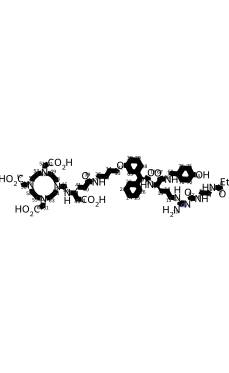 CCC(=O)NCCNC(=O)/N=C(/N)NCCC[C@@H](NC(=O)[C@@H](c1ccccc1)c1cccc(OCCCCNC(=O)CC[C@H](CC(=O)O)NCN2CCN(CC(=O)O)CCN(CC(=O)O)CCN(CC(=O)O)CC2)c1)C(=O)NCc1ccc(O)cc1